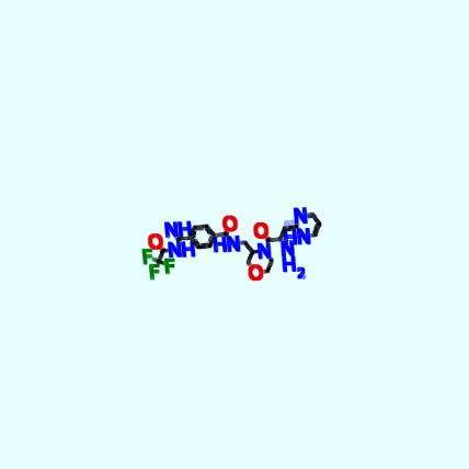 N=C(NC(=O)C(F)(F)F)c1ccc(C(=O)NCC2COCCN2C(=O)C(N)/C=C2/N=CC=CN2)cc1